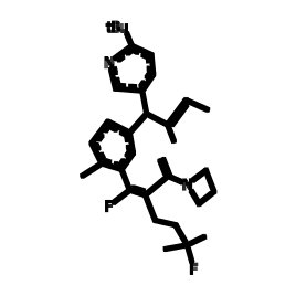 C=C(/C(CCC(C)(C)F)=C(/F)c1cc(C(/C(C)=C/C)c2ccc(C(C)(C)C)nc2)ccc1C)N1CCC1